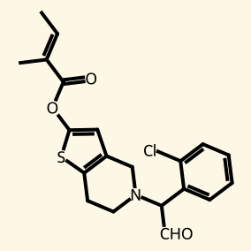 C/C=C(\C)C(=O)Oc1cc2c(s1)CCN(C(C=O)c1ccccc1Cl)C2